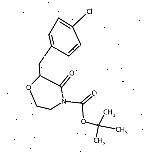 CC(C)(C)OC(=O)N1CCOC(Cc2ccc(Cl)cc2)C1=O